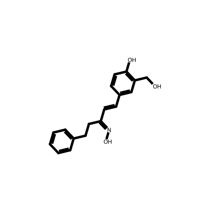 OCc1cc(C=CC(CCc2ccccc2)=NO)ccc1O